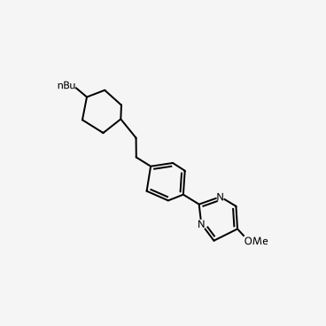 CCCCC1CCC(CCc2ccc(-c3ncc(OC)cn3)cc2)CC1